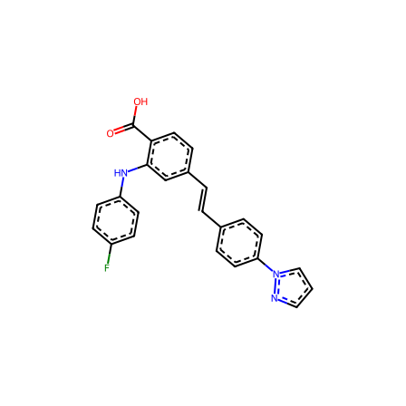 O=C(O)c1ccc(/C=C/c2ccc(-n3cccn3)cc2)cc1Nc1ccc(F)cc1